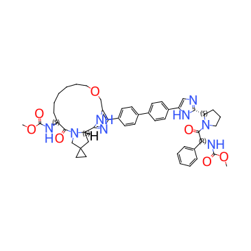 COC(=O)N[C@H]1CCCCCCOCc2[nH]c(nc2-c2ccc(-c3ccc(-c4cnc([C@@H]5CCCN5C(=O)[C@H](NC(=O)OC)c5ccccc5)[nH]4)cc3)cc2)[C@@H]2CC3(CC3)CN2C1=O